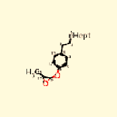 CCCCCCCCCc1ccc(OC2OC2C)cc1